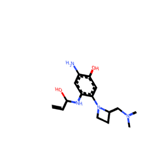 C=CC(O)Nc1cc(N)c(O)cc1N1CCC1CN(C)C